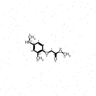 CNc1ccc(OCC(=O)OC)c(C)c1